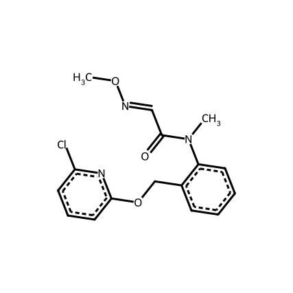 CON=CC(=O)N(C)c1ccccc1COc1cccc(Cl)n1